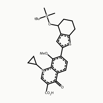 COc1c(-c2cc3c(s2)CCCC3O[Si](C)(C)C(C)(C)C)ccc2c(=O)c(C(=O)O)cn(C3CC3)c12